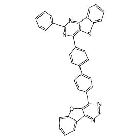 c1ccc(-c2nc(-c3ccc(-c4ccc(-c5ncnc6c5oc5ccccc56)cc4)cc3)c3sc4ccccc4c3n2)cc1